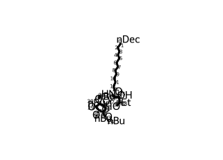 CCCCCCCCCCCCCCCCCCCCCCC(=O)N[C@@H](COC1OC(COCCCC)C(OCCCC)C(OCCCC)C1OCCCC)[C@H](O)[C@H](O)CC